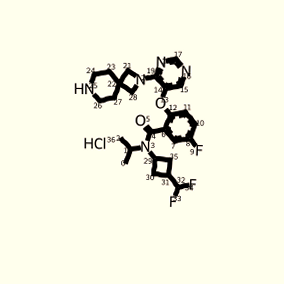 CC(C)N(C(=O)c1cc(F)ccc1Oc1cncnc1N1CC2(CCNCC2)C1)C1CC(C(F)F)C1.Cl